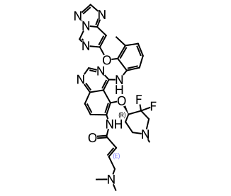 Cc1cccc(Nc2ncnc3ccc(NC(=O)/C=C/CN(C)C)c(O[C@@H]4CCN(C)CC4(F)F)c23)c1Oc1cc2ncnn2cn1